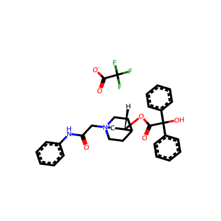 O=C(C[N+]12CCC(CC1)[C@@H](OC(=O)C(O)(c1ccccc1)c1ccccc1)C2)Nc1ccccc1.O=C([O-])C(F)(F)F